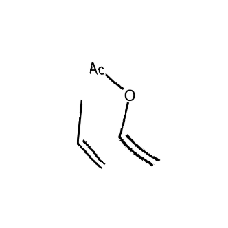 C=CC.C=COC(C)=O